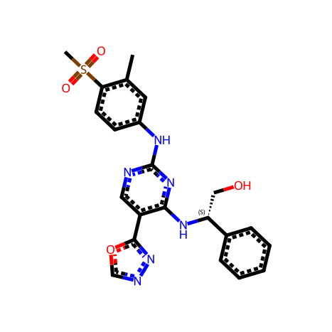 Cc1cc(Nc2ncc(-c3nnco3)c(N[C@H](CO)c3ccccc3)n2)ccc1S(C)(=O)=O